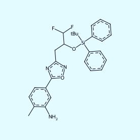 Cc1ccc(-c2nc(CC(O[Si](c3ccccc3)(c3ccccc3)C(C)(C)C)C(F)F)no2)cc1N